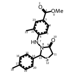 COC(=O)c1ccc(NN2C(=O)CSC2c2ccc(C)cc2)c(C)c1